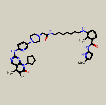 COc1ccc(NC(=O)c2cccc(NCCCCCCCNC(=O)CN3CCN(c4ccc(Nc5ncc6c(C)c(C(C)=O)c(=O)n(C7CCCC7)c6n5)nc4)CC3)c2C)[nH]1